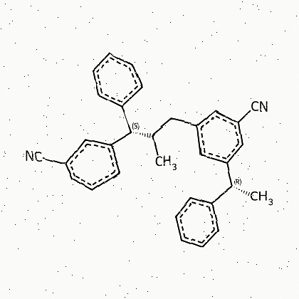 CC(Cc1cc(C#N)cc([C@H](C)c2ccccc2)c1)[C@@H](c1ccccc1)c1cccc(C#N)c1